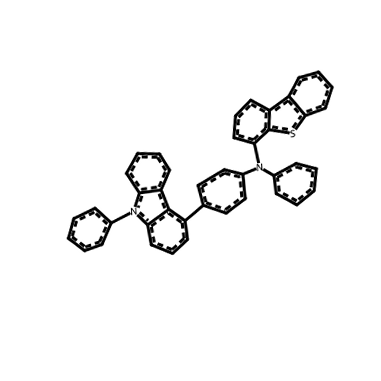 c1ccc(N(c2ccc(-c3cccc4c3c3ccccc3n4-c3ccccc3)cc2)c2cccc3c2sc2ccccc23)cc1